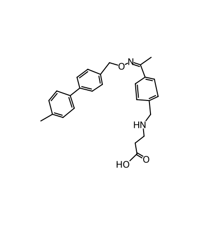 C/C(=N/OCc1ccc(-c2ccc(C)cc2)cc1)c1ccc(CNCCC(=O)O)cc1